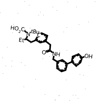 CCC(Cc1cccc(CC(=O)NCc2cccc(-c3ccc(O)cc3)c2)c1)N(C(=O)O)C(C)(C)C